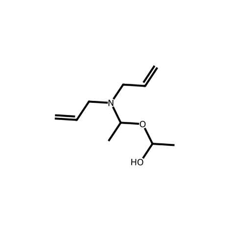 C=CCN(CC=C)C(C)OC(C)O